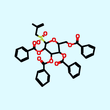 C=C(C)CS(=O)(=O)C1OC(COC(=O)c2ccccc2)C(OC(=O)c2ccccc2)C(OC(=O)c2ccccc2)C1OC(=O)c1ccccc1